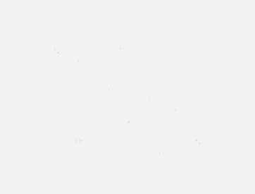 Cl.Cl.Nc1ccc(Cc2cccc(N)c2)cc1